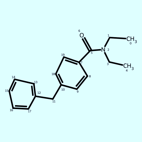 CCN(CC)C(=O)c1ccc(Cc2ccccc2)cc1